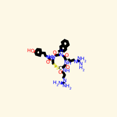 NC(N)=NCCC[C@@H]1NC(=O)[C@@H](NC(=O)CCN=C(N)N)CSSC[C@H](C(=O)NCCc2ccc(O)cc2)NC(=O)[C@H](Cc2ccc3ccccc3c2)NC1=O